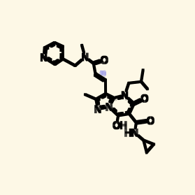 Cc1nn2c(O)c(C(=O)NC3CC3)c(=O)n(CC(C)C)c2c1/C=C/C(=O)N(C)Cc1cccnc1